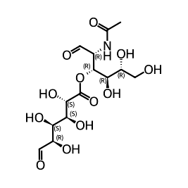 CC(=O)N[C@@H](C=O)[C@@H](OC(=O)[C@@H](O)[C@@H](O)[C@H](O)[C@@H](O)C=O)[C@H](O)[C@H](O)CO